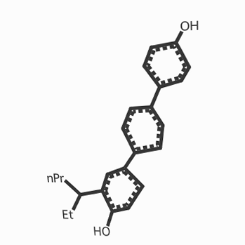 CCCC(CC)c1cc(-c2ccc(-c3ccc(O)cc3)cc2)ccc1O